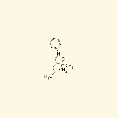 C[CH]CC(C=Nc1ccccc1)C(C)(C)C